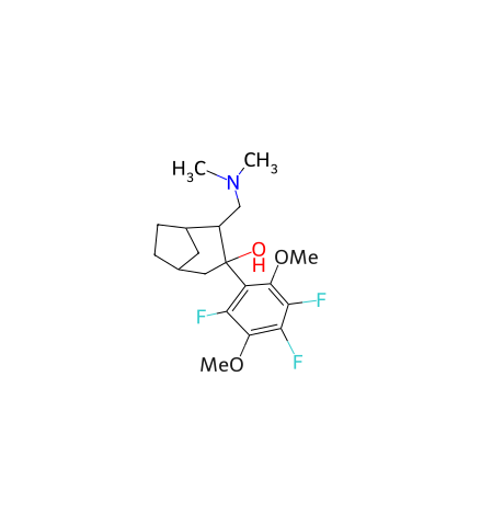 COc1c(F)c(F)c(OC)c(C2(O)CC3CCC(C3)C2CN(C)C)c1F